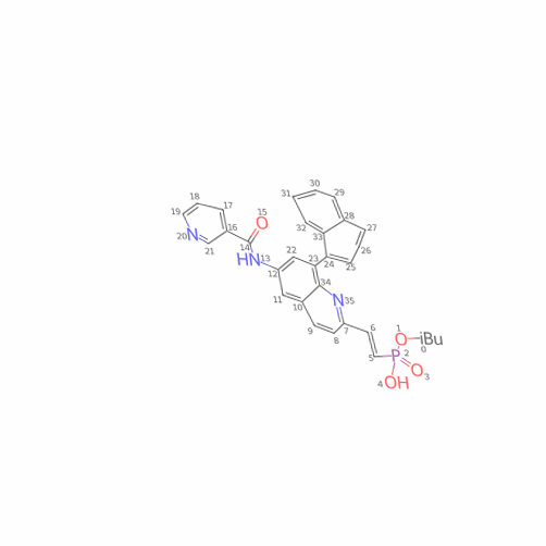 CCC(C)OP(=O)(O)C=Cc1ccc2cc(NC(=O)c3cccnc3)cc(-c3cccc4ccccc34)c2n1